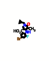 Cc1c(Nc2ccc(Br)cc2F)c(C(=O)O)cn(CC2CC2)c1=O